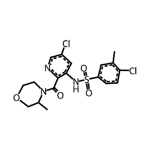 Cc1cc(S(=O)(=O)Nc2cc(Cl)cnc2C(=O)N2CCOCC2C)ccc1Cl